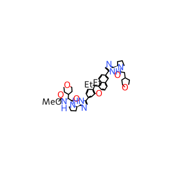 CCC1(CC)c2ccc(-c3cnc([C@H]4CCCN4C(=O)[C@@H](NC(=O)OC)C4CCOCC4)[nH]3)cc2Oc2ccc3cc(-c4cnc([C@H]5CCCN5C(=O)CC5CCOCC5)[nH]4)ccc3c21